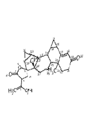 C=C(O)C1C[C@]2(OC1=O)C1CC1C1C3C4CC4C4=CC(=O)CCC4(C)C3CC[C@@]12C